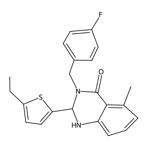 CCc1ccc(C2Nc3cccc(C)c3C(=O)N2Cc2ccc(F)cc2)s1